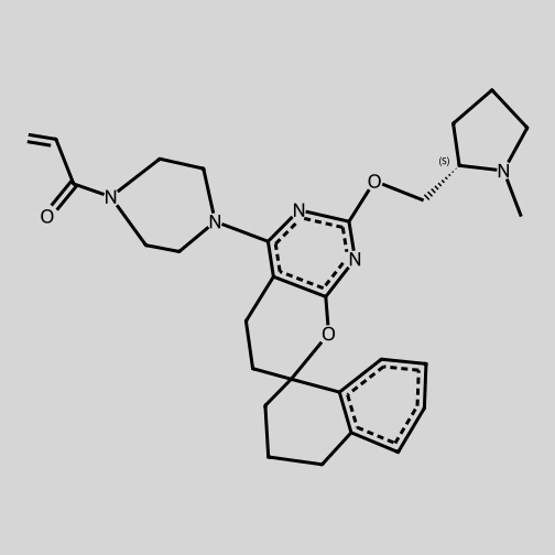 C=CC(=O)N1CCN(c2nc(OC[C@@H]3CCCN3C)nc3c2CCC2(CCCc4ccccc42)O3)CC1